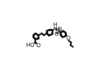 CCCCOc1ccc(S(=O)(=O)Nc2ccc(CCc3cccc(C(=O)O)c3)cc2)cc1